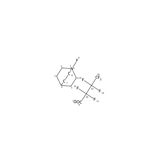 F[N+]12CCC(CC1)CC2.O=C([O-])C(F)(F)C(F)(F)C(F)(F)F